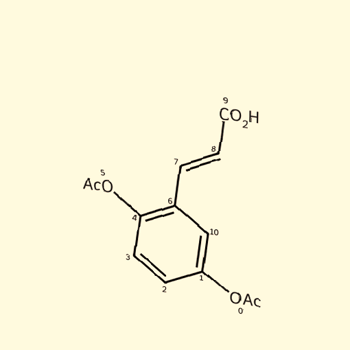 CC(=O)Oc1ccc(OC(C)=O)c(/C=C/C(=O)O)c1